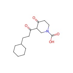 O=C(CCC1CCCCC1)C1CN(C(=O)O)CCC1=O